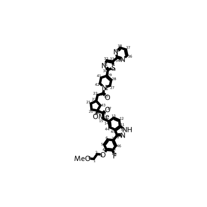 COCCOc1ccc(-c2n[nH]c3ccc(CC(=O)[C@]4(OC)CCC(CC(=O)N5CC=C(c6ncc(-c7ncccn7)s6)CC5)C4)cc23)cc1F